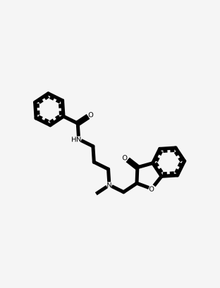 CN(CCCNC(=O)c1ccccc1)CC1Oc2ccccc2C1=O